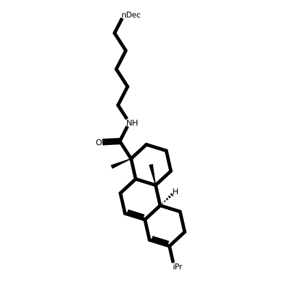 CCCCCCCCCCCCCCCNC(=O)[C@]1(C)CCC[C@@]2(C)C1CC=C1C=C(C(C)C)CC[C@@H]12